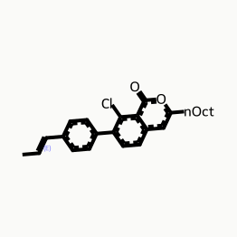 C/C=C/c1ccc(-c2ccc3cc(CCCCCCCC)oc(=O)c3c2Cl)cc1